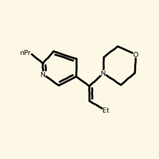 CC/C=C(/c1ccc(CCC)nc1)N1CCOCC1